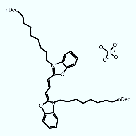 CCCCCCCCCCCCCCCCCCN1C(=CC=Cc2oc3ccccc3[n+]2CCCCCCCCCCCCCCCCCC)Oc2ccccc21.[O-][Cl+3]([O-])([O-])[O-]